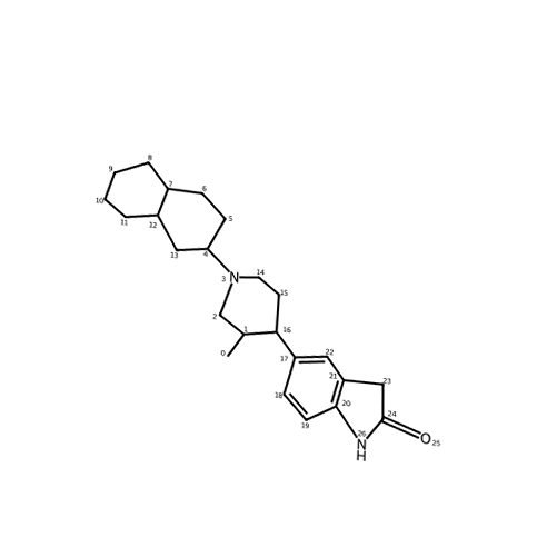 CC1CN(C2CCC3CCCCC3C2)CCC1c1ccc2c(c1)CC(=O)N2